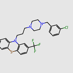 FC(F)(F)c1ccc2c(c1)N(CCCN1CCN(Cc3cccc(Cl)c3)CC1)c1ccccc1S2